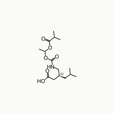 CC(C)C[C@H](CNC(=O)OC(C)OC(=O)C(C)C)CC(=O)O